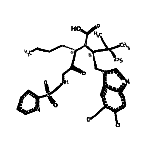 CCCC[C@@H](C(=O)CNS(=O)(=O)c1ccccn1)N(C(=O)O)[C@H](Cn1cnc2cc(Cl)c(Cl)cc21)C(C)(C)C